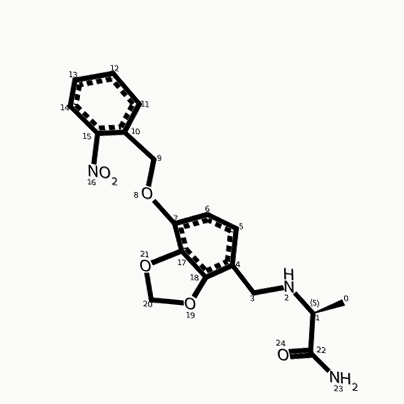 C[C@H](NCc1ccc(OCc2ccccc2[N+](=O)[O-])c2c1OCO2)C(N)=O